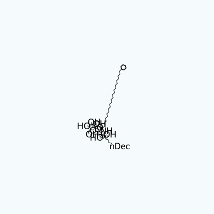 CCCCCCCCCCCCCC[C@@H](O)[C@@H](O)[C@H](COC1OC(CO)C(O)C(O)[C@@H]1O)NC(=O)CCCCCCCCCCCCCCCCCCCCCCCCc1ccccc1